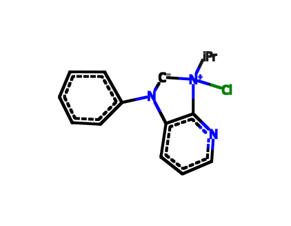 CC(C)[N+]1(Cl)[CH-]N(c2ccccc2)c2cccnc21